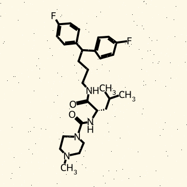 CC(C)C[C@H](NC(=O)N1CCN(C)CC1)C(=O)NCCCC(c1ccc(F)cc1)c1ccc(F)cc1